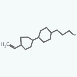 C=CC1CCC(C2CCC(CCCF)CC2)CC1